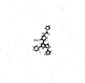 COc1cc(NC(=O)N2CCCC2)ncc1-c1cc(N2CCOC[C@H]2C)nc2c1cnn2-c1cc[nH]n1